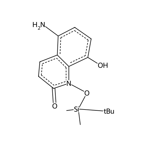 CC(C)(C)[Si](C)(C)On1c(=O)ccc2c(N)ccc(O)c21